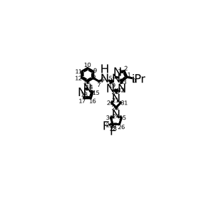 CC(C)c1cnn2c(NCc3ccccc3-n3cccn3)nc(N3CC(N4CCC(F)(F)C4)C3)nc12